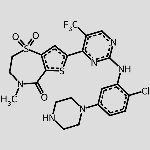 CN1CCS(=O)(=O)c2cc(-c3nc(Nc4cc(N5CCNCC5)ccc4Cl)ncc3C(F)(F)F)sc2C1=O